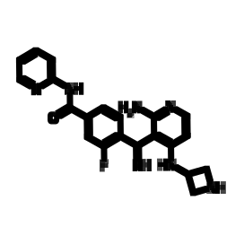 N=C(c1ccc(C(=O)Nc2ccccn2)cc1F)c1c(NC2CNC2)ccnc1N